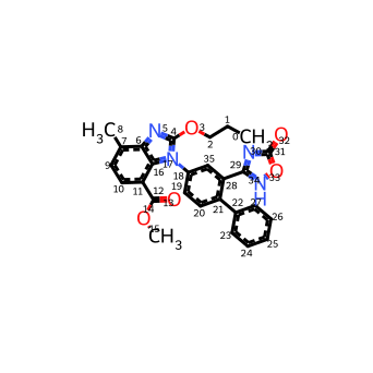 CCCOc1nc2c(C)ccc(C(=O)OC)c2n1-c1ccc(-c2ccccc2)c(-c2nc(=O)o[nH]2)c1